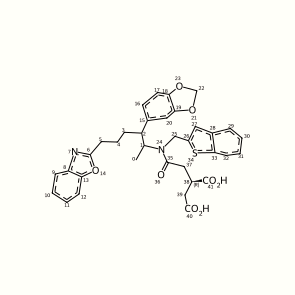 CC(C(CCCc1nc2ccccc2o1)c1ccc2c(c1)OCO2)N(Cc1cc2ccccc2s1)C(=O)C[C@H](CC(=O)O)C(=O)O